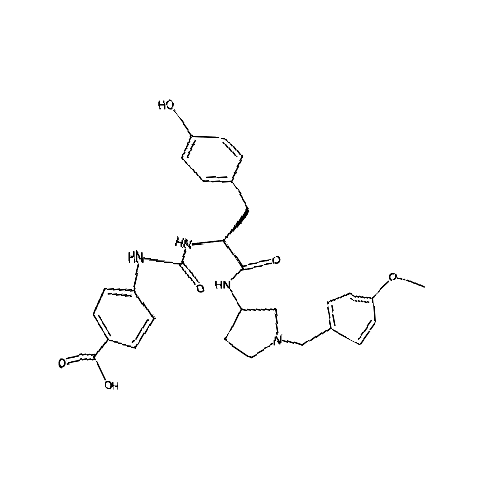 COc1ccc(CN2CCC(NC(=O)[C@H](Cc3ccc(O)cc3)NC(=O)Nc3ccc(C(=O)O)cc3)C2)cc1